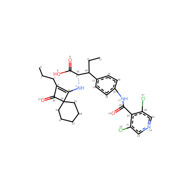 CCCC1=C(N[C@H](C(=O)O)C(CC)c2ccc(NC(=O)c3c(Cl)cncc3Cl)cc2)C2(CCCCC2)C1=O